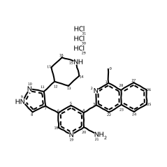 Cc1nc(-c2cc(-c3c[nH]nc3C3CCNCC3)cnc2N)cc2ccccc12.Cl.Cl.Cl